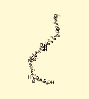 O=C(NCSCSCSC/N=C\[S+]([O-])CSCSCSC(=O)NCSCSCSC/N=C\OOCSCSCO)OCSCSCO